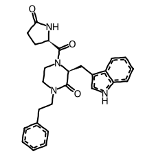 O=C1CC[C@H](C(=O)N2CCN(CCc3ccccc3)C(=O)[C@@H]2Cc2c[nH]c3ccccc23)N1